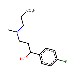 CN(CCC(=O)O)CCC(O)c1ccc(F)cc1